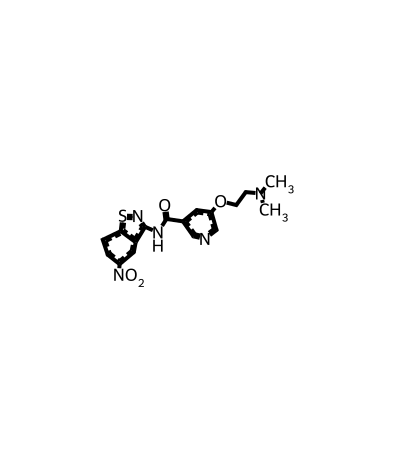 CN(C)CCOc1cncc(C(=O)Nc2nsc3ccc([N+](=O)[O-])cc23)c1